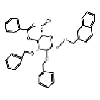 CCS[C@@H]1O[C@H](COCc2ccc3ccccc3c2)[C@@H](OCc2ccccc2)[C@H](OCc2ccccc2)[C@H]1OC(=O)c1ccccc1